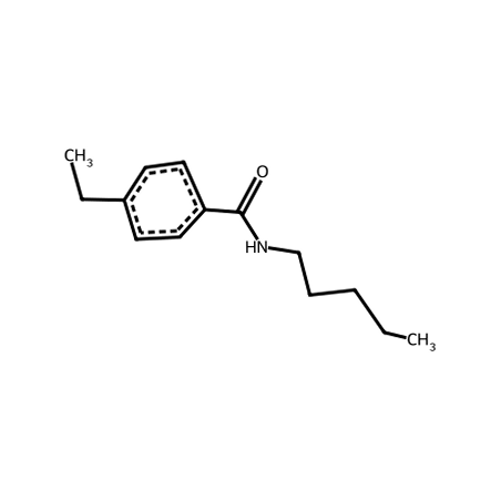 CCCCCNC(=O)c1ccc(CC)cc1